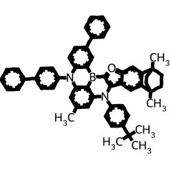 Cc1cc2c3c(c1)N(c1ccc(C(C)(C)C)cc1)c1c(oc4cc5c(cc14)C1(C)CCC5(C)CC1)B3c1cc(-c3ccccc3)ccc1N2c1ccc(-c2ccccc2)cc1